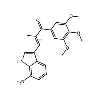 COc1cc(C(=O)/C(C)=C/c2c[nH]c3c(N)cccc23)cc(OC)c1OC